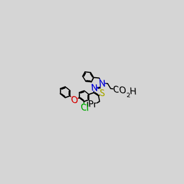 CC(C)Cc1sc(N(CCC(=O)O)Cc2ccccc2)nc1-c1ccc(Oc2ccccc2)c(Cl)c1